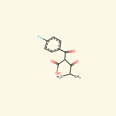 CC(C)C(=O)C(C(=O)O)C(=O)c1ccc(F)cc1